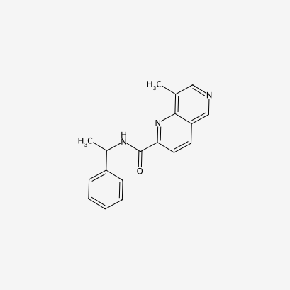 Cc1cncc2ccc(C(=O)NC(C)c3ccccc3)nc12